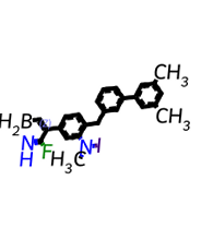 B/C=C(\C(=N)F)c1ccc(Cc2cccc(-c3cc(C)cc(C)c3)c2)c(N(C)I)c1